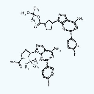 CC(C)(C)OC(=O)N1CC[C@H](n2ncc3c(N)nc(-c4ccc(F)nc4)nc32)C1.CC(C)(C)[C@H]1C(n2ncc3c(N)nc(-c4ccc(F)nc4)nc32)CCN1C(=O)O